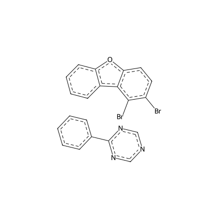 Brc1ccc2oc3ccccc3c2c1Br.c1ccc(-c2ncncn2)cc1